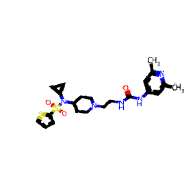 Cc1cc(NC(=O)NCCN2CCC(N(C3CC3)S(=O)(=O)c3cccs3)CC2)cc(C)n1